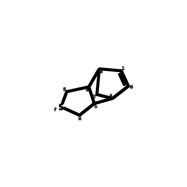 C1=CC2CC1C1CSCC21